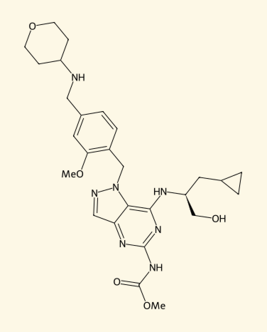 COC(=O)Nc1nc(N[C@H](CO)CC2CC2)c2c(cnn2Cc2ccc(CNC3CCOCC3)cc2OC)n1